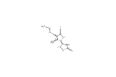 C=CCN1C(=O)C(=C2NC(=O)CS2)SC1=S